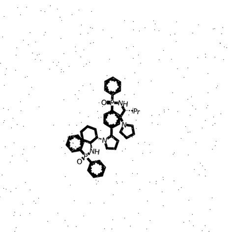 CC(C)[C@H](CN1CCCC1)NP(=O)(c1ccccc1)c1ccc(C2CCCN2[C@H]2CCCC[C@@H]2NP(=O)(c2ccccc2)c2ccccc2)cc1